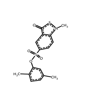 Cc1ccc(C)c(OS(=O)(=O)c2ccc3c(c2)c(=O)sn3C)c1